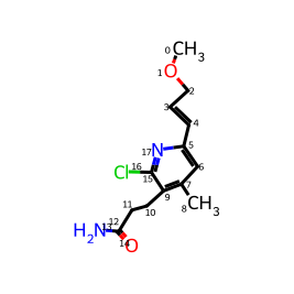 COC/C=C/c1cc(C)c(CCC(N)=O)c(Cl)n1